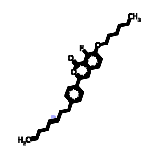 C=CCC/C=C/CCc1ccc(-c2cc3ccc(OCCCCCC)c(F)c3c(=O)o2)cc1